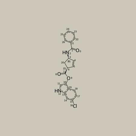 O=C(N[C@H]1C=C[C@@H](C(=O)Oc2c[nH]c3cc(Cl)ccc23)C1)c1ccccc1